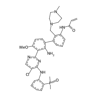 C=CC(=O)Nc1cccc(-c2ccc(OC)c(-c3ncc(Cl)c(Nc4ccccc4P(C)(C)=O)n3)c2N)c1CN1CCN(C)CC1